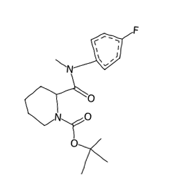 CN(C(=O)C1CCCCN1C(=O)OC(C)(C)C)c1ccc(F)cc1